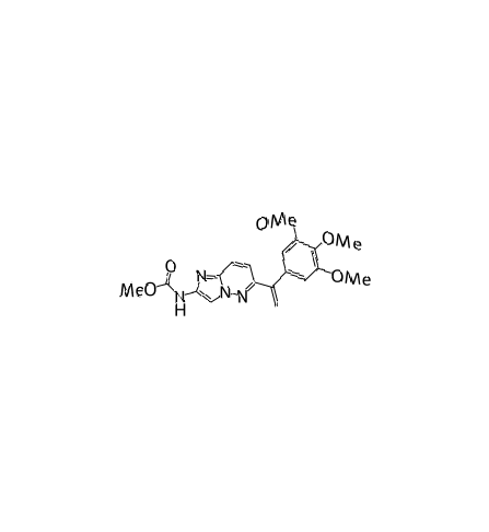 C=C(c1cc(OC)c(OC)c(OC)c1)c1ccc2nc(NC(=O)OC)cn2n1